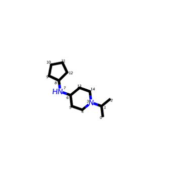 CC(C)N1CCC(NC2CCCC2)CC1